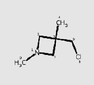 CN1CC(C)(CCl)C1